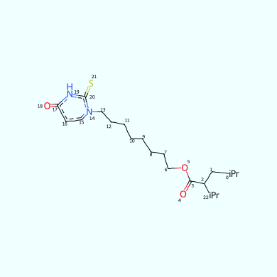 CC(C)CC(C(=O)OCCCCCCCCn1ccc(=O)[nH]c1=S)C(C)C